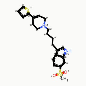 CS(=O)(=O)c1ccc2c(CCCCN3CC=C(c4cccs4)CC3)c[nH]c2c1